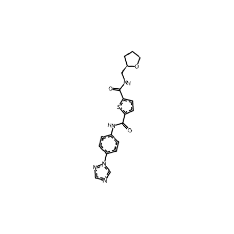 O=C(NC[C@H]1CCCO1)c1ccc(C(=O)Nc2ccc(-n3cncn3)cc2)s1